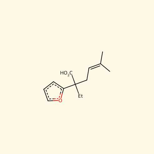 CCC(CC=C(C)C)(C(=O)O)c1ccco1